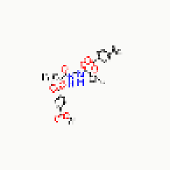 CC(=O)c1ccc(C(=O)OC(C)C(=O)NCNC(=O)C(C)OC(=O)c2ccc(C(=O)OC(C)C)cc2)cc1